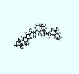 O=C(N[C@H]1CCC[C@H]2CC[C@@H](C(=O)N3CC(c4cnccc4C(F)F)C3)N2C1=O)c1cc2cc(C(F)(F)P(=O)(O)O)ccc2s1